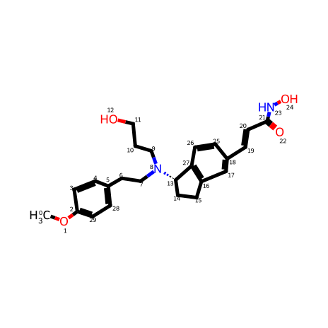 COc1ccc(CCN(CCCO)[C@H]2CCc3cc(/C=C/C(=O)NO)ccc32)cc1